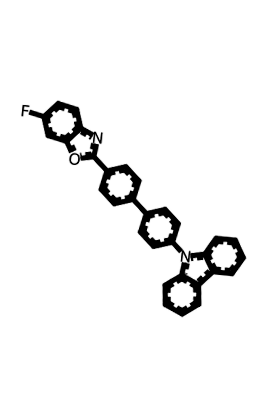 Fc1ccc2nc(-c3ccc(-c4ccc(-n5c6ccccc6c6ccccc65)cc4)cc3)oc2c1